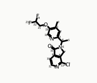 Cc1cc(C(C)N2Cc3c(ccnc3Cl)C2=O)ncc1OCC(F)F